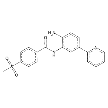 CS(=O)(=O)c1ccc(C(=O)Nc2cc(-c3ccccn3)ccc2N)cc1